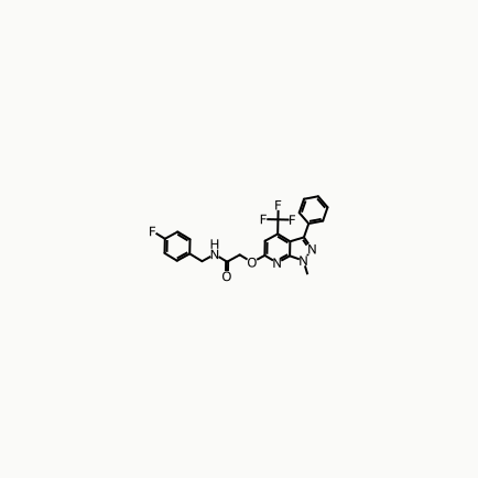 Cn1nc(-c2ccccc2)c2c(C(F)(F)F)cc(OCC(=O)NCc3ccc(F)cc3)nc21